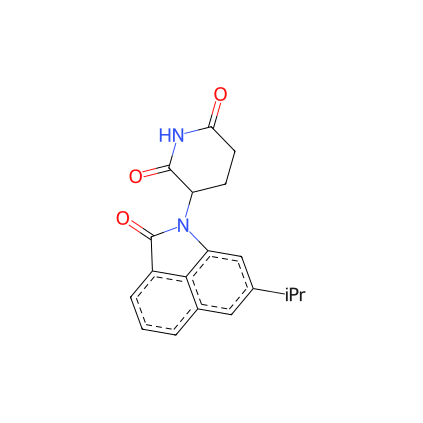 CC(C)c1cc2c3c(cccc3c1)C(=O)N2C1CCC(=O)NC1=O